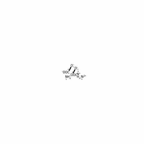 O=C([O-])[O-].O=C([O-])[O-].[NH4+].[NH4+].[Ni+2]